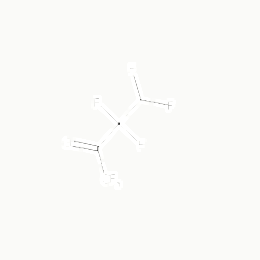 O=C(C(F)(F)F)C(F)(F)C(F)F